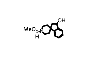 COBN1CCC2(CC1)CC(O)c1ccccc12